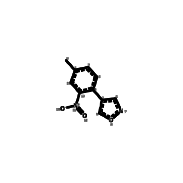 Cc1ccc(-c2cnoc2)c([N+](=O)[O-])c1